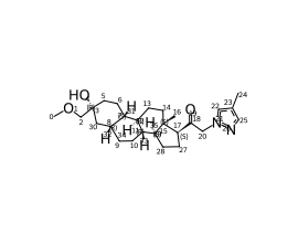 COC[C@@]1(O)CC[C@H]2[C@H](CC[C@@H]3[C@@H]2CC[C@]2(C)[C@@H](C(=O)Cn4cc(C)cn4)CC[C@@H]32)C1